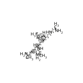 CC(N)CCNCCCC(CNCCCNC(CCCNCCC(C)N)NCCC(C)N)NCCC(C)N